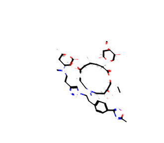 CC[C@H]1OC(=O)[C@H](C)[C@@H](O[C@H]2C[C@@](C)(OC)[C@@H](O)[C@H](C)O2)[C@H](C)[C@@H](O[C@@H]2O[C@H](C)C[C@H](N(C)CCc3cn(CCc4ccc(-c5noc(C)n5)cc4)nn3)[C@H]2O)[C@](C)(O)C[C@@H](C)CN(C)[C@H](C)[C@@H](O)[C@]1(C)O